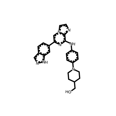 OCC1CCN(c2ccc(Nc3nc(-c4ccc5cn[nH]c5c4)cn4ccnc34)cc2)CC1